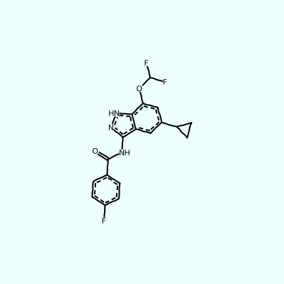 O=C(Nc1n[nH]c2c(OC(F)F)cc(C3CC3)cc12)c1ccc(F)cc1